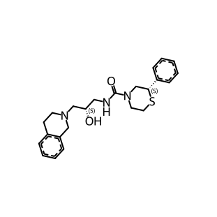 O=C(NC[C@H](O)CN1CCc2ccccc2C1)N1CCS[C@@H](c2ccccc2)C1